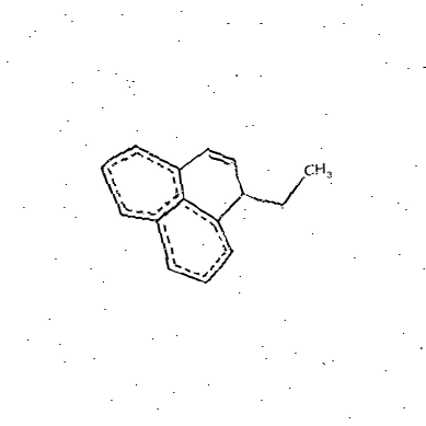 C[CH]C1C=Cc2cccc3cccc1c23